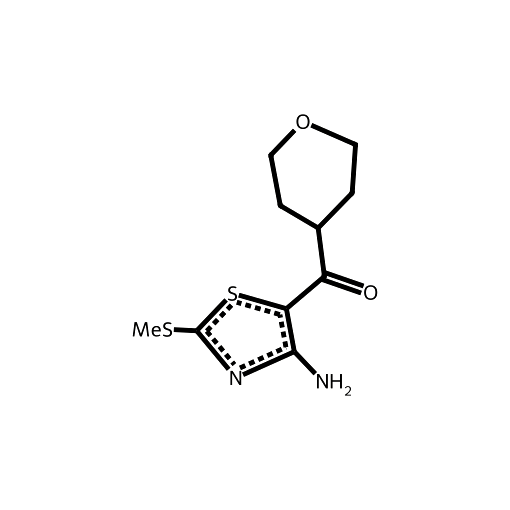 CSc1nc(N)c(C(=O)C2CCOCC2)s1